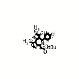 CC1=NN=C2C(CC(=O)OC(C)(C)C)N=C(c3ccc(Cl)cc3)c3c(sc(C)c3C)C12